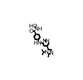 Cc1ncc(-c2cnnc(Nc3ccc(C(=O)NO)cc3)c2)n1C(C)C